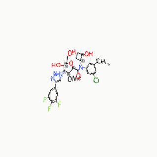 CO[C@@H]1[C@@H](n2cc(-c3cc(F)c(F)c(F)c3)nn2)[C@@H](O)[C@@H](CO)O[C@H]1C(=O)N(c1cc(C)cc(Cl)c1)[C@@H]1CC[C@H]1O